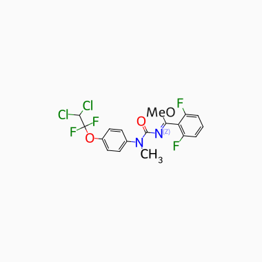 CO/C(=N\C(=O)N(C)c1ccc(OC(F)(F)C(Cl)Cl)cc1)c1c(F)cccc1F